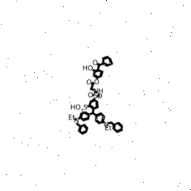 CCN(Cc1ccccc1)c1ccc(C(c2ccc(N(CC)Cc3ccccc3)cc2)c2ccc(S(=O)(=O)NCC(=O)Oc3ccc(C(=O)c4ccccc4)c(O)c3)cc2S(=O)(=O)O)cc1